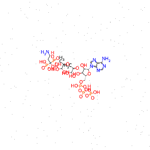 CC(=O)C(O)O.CC(=O)C(O)O.NCCC(O)(P(=O)(O)O)P(=O)(O)O.Nc1ncnc2c1ncn2[C@@H]1O[C@H](COP(=O)(O)OP(=O)(O)OP(=O)(O)O)[C@@H](O)[C@H]1O